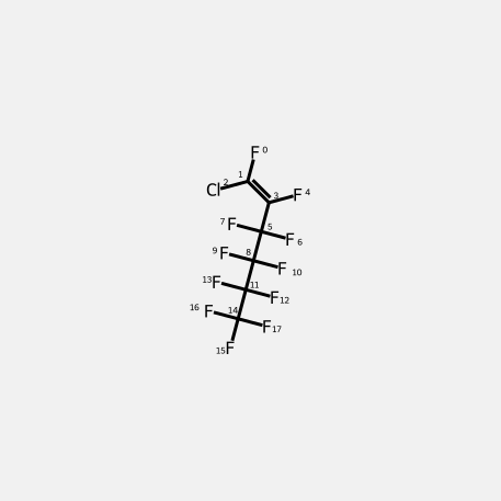 FC(Cl)=C(F)C(F)(F)C(F)(F)C(F)(F)C(F)(F)F